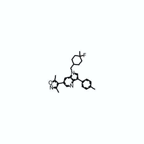 Cc1ccc(-c2cn(CC3CCC(C)(F)CC3)c3cc(-c4c(C)noc4C)cnc23)cc1